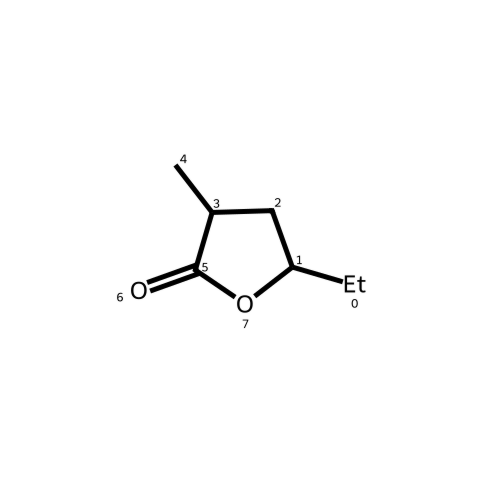 CCC1CC(C)C(=O)O1